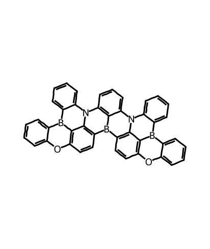 c1ccc2c(c1)Oc1ccc3c4c1B2c1ccccc1N4c1cccc2c1B3c1ccc3c4c1N2c1ccccc1B4c1ccccc1O3